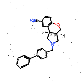 N#Cc1ccc2c(c1)[C@H]1CN(Cc3ccc(-c4ccccc4)cc3)C[C@@H]1CO2